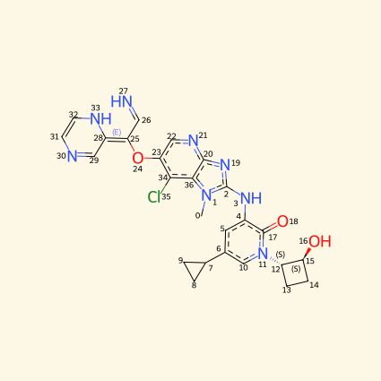 Cn1c(Nc2cc(C3CC3)cn([C@H]3CC[C@@H]3O)c2=O)nc2ncc(O/C(C=N)=C3\C=NC=CN3)c(Cl)c21